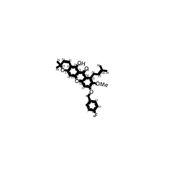 COc1c(OCc2ccc(F)cc2)cc2oc3cc4c(c(O)c3c(=O)c2c1CC=C(C)C)C=CC(C)(C)O4